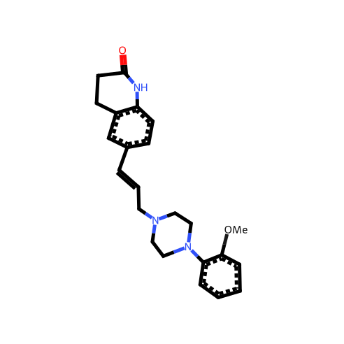 COc1ccccc1N1CCN(C/C=C/c2ccc3c(c2)CCC(=O)N3)CC1